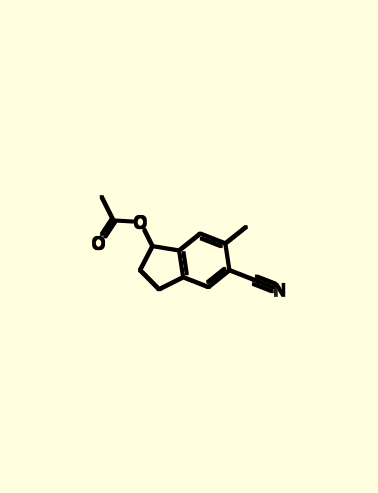 CC(=O)OC1CCc2cc(C#N)c(C)cc21